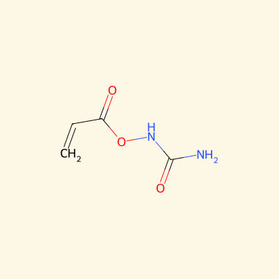 C=CC(=O)ONC(N)=O